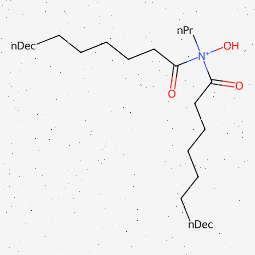 CCCCCCCCCCCCCCCC(=O)[N+](O)(CCC)C(=O)CCCCCCCCCCCCCCC